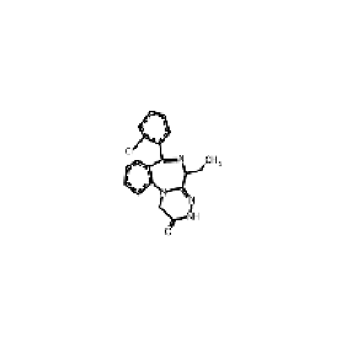 CCC1N=C(c2ccccc2Cl)c2ccccc2N2CC(=O)NN=C12